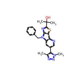 Cc1nnn(C)c1-c1cnc2c3sc(C(C)(C)O)nc3n(Cc3ccccc3)c2c1